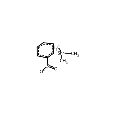 O=S([O-])c1ccccc1.[CH3][Sn+]([CH3])[CH3]